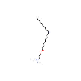 CCCCCCCC/C=C\CCCCCCCC(=O)OCCCN(C)C